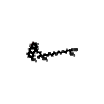 CN(C=O)CCOCCOCCOCCN(C)C(=O)CCCC12C=CC=CC1C1c3ccc(N)cc3C2C2C=CC=CC21